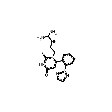 NC(N)NCCn1c(-c2ccccc2-n2nccn2)cc(=O)[nH]c1=S